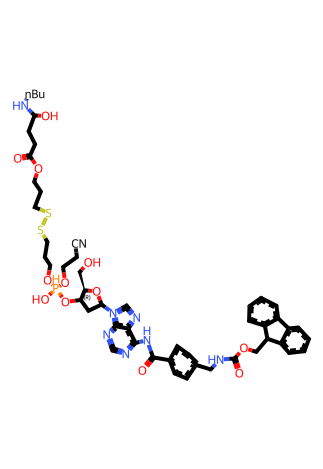 CCCCNC(O)CCC(=O)OCCCSSCCCO[PH](O)(OCCC#N)OC1CC(n2cnc3c(NC(=O)c4ccc(CNC(=O)OCC5c6ccccc6-c6ccccc65)cc4)ncnc32)O[C@@H]1CO